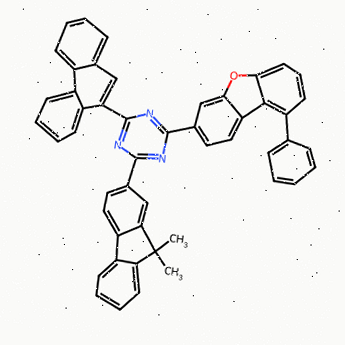 CC1(C)c2ccccc2-c2ccc(-c3nc(-c4ccc5c(c4)oc4cccc(-c6ccccc6)c45)nc(-c4cc5ccccc5c5ccccc45)n3)cc21